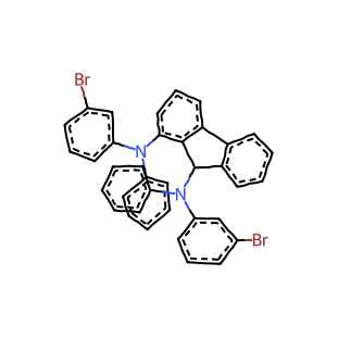 Brc1cccc(N(c2ccccc2)c2cccc3c2C(N(c2ccccc2)c2cccc(Br)c2)c2ccccc2-3)c1